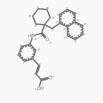 O=C(O)/C=C/c1cccc(NC(=O)C2(Cc3cccc4ccccc34)CCCCC2)c1